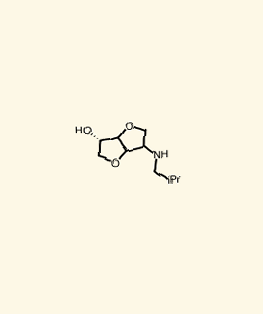 CC(C)CNC1COC2C1OC[C@@H]2O